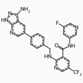 Nc1n[nH]c2ncc(-c3ccc(CNc4ncc(C(F)(F)F)cc4C(=O)Nc4cncc(F)c4)cc3)cc12